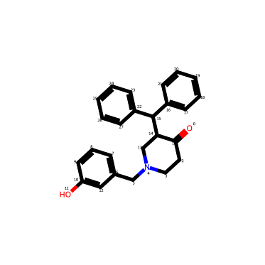 O=C1CCN(Cc2cccc(O)c2)CC1C(c1ccccc1)c1ccccc1